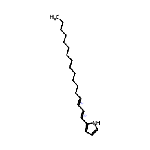 CCCCCCCCCCCCC/C=C/C=C/c1ccc[nH]1